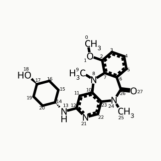 COc1cccc2c1N(C)c1cc(N[C@H]3CC[C@H](O)CC3)ncc1N(C)C2=O